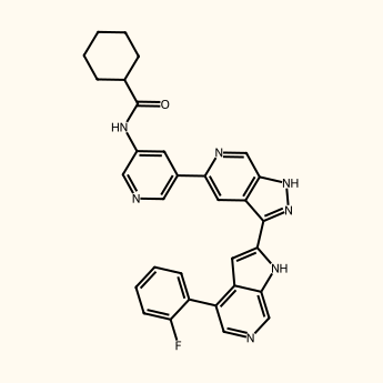 O=C(Nc1cncc(-c2cc3c(-c4cc5c(-c6ccccc6F)cncc5[nH]4)n[nH]c3cn2)c1)C1CCCCC1